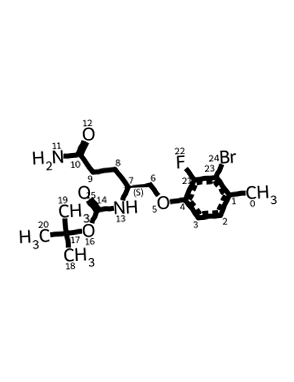 Cc1ccc(OC[C@H](CCC(N)=O)NC(=O)OC(C)(C)C)c(F)c1Br